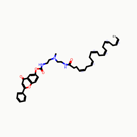 CC/C=C\C/C=C\C/C=C\C/C=C\C/C=C\C/C=C\CCC(=O)NCCN(C)CCNC(=O)Oc1ccc2oc(-c3ccccc3)cc(=O)c2c1